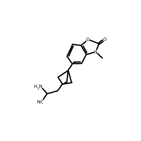 Cn1c(=O)oc2ccc(C34CC(CC(N)C#N)(C3)C4)cc21